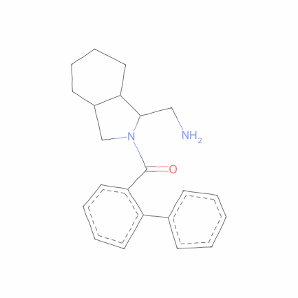 NCC1C2CCCCC2CN1C(=O)c1ccccc1-c1ccccc1